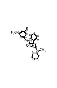 CN(C1CCOCC1)C1CC(C(=O)NCc2cc(F)cc(C(F)(F)F)c2)(c2ccccc2)C1